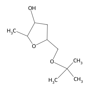 CC1OC(COC(C)(C)C)CC1O